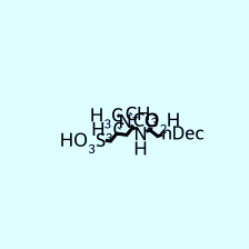 CCCCCCCCCCCC(=O)NC(CCCS(=O)(=O)O)(C(=O)O)[N+](C)(C)C